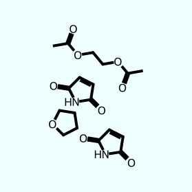 C1CCOC1.CC(=O)OCCOC(C)=O.O=C1C=CC(=O)N1.O=C1C=CC(=O)N1